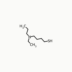 CCCN(CC)CCCCS